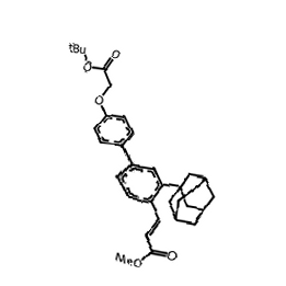 COC(=O)C=Cc1ccc(-c2ccc(OCC(=O)OC(C)(C)C)cc2)cc1C12CC3CC(CC(C3)C1)C2